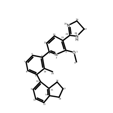 COc1nc(-c2cccc(-c3cccc4c3CCC4)c2C)ccc1C1=NCCN1